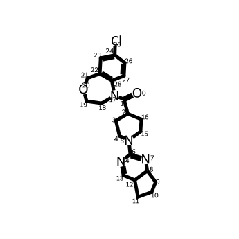 O=C(C1CCN(C2=NC3CCCC3C=N2)CC1)N1CCOCc2cc(Cl)ccc21